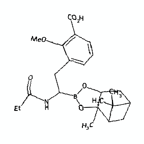 CCC(=O)NC(Cc1cccc(C(=O)O)c1OC)B1OC2CC3CC(C3(C)C)C2(C)O1